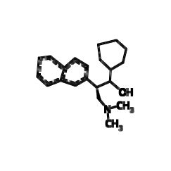 CN(C)C[C@@H](c1ccc2ccccc2c1)C(O)C1CCCCC1